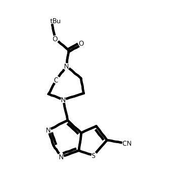 CC(C)(C)OC(=O)N1CCN(c2ncnc3sc(C#N)cc23)CC1